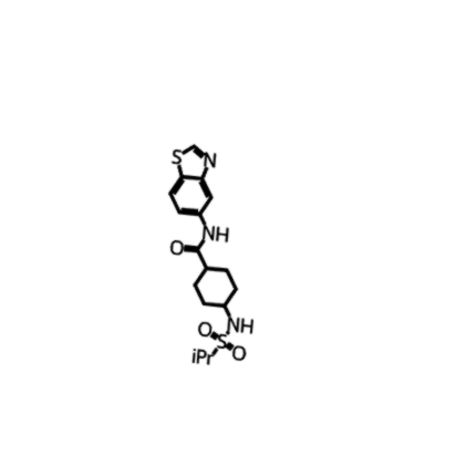 CC(C)S(=O)(=O)NC1CCC(C(=O)Nc2ccc3scnc3c2)CC1